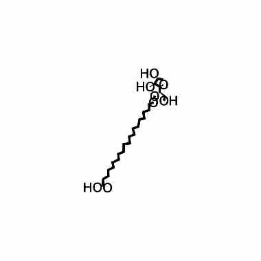 O=C(O)CCCCCCCCCCCCCCCCCCCOO[C@H](CO)[C@H]1OC[C@H](O)[C@H]1O